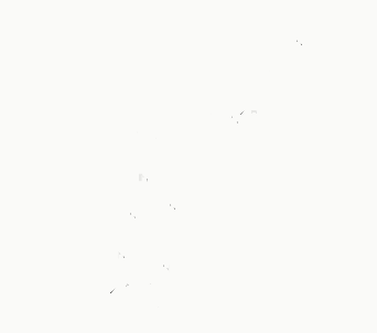 CC[C@@H]1C(=O)N(C)c2cnc(Nc3ccc(C(=O)N[C@@H]4CC5CCN(C)CC5C4)cc3OC)nc2N1C1CCCC1